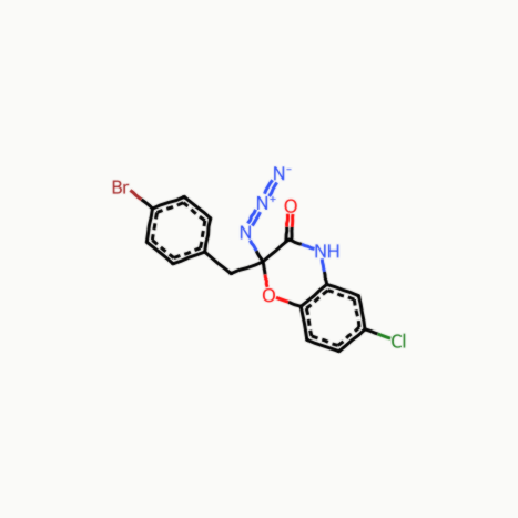 [N-]=[N+]=NC1(Cc2ccc(Br)cc2)Oc2ccc(Cl)cc2NC1=O